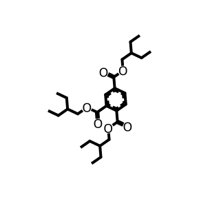 CCC(CC)COC(=O)c1ccc(C(=O)OCC(CC)CC)c(C(=O)OCC(CC)CC)c1